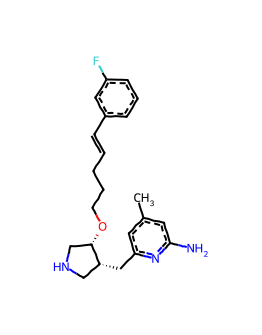 Cc1cc(N)nc(C[C@@H]2CNC[C@@H]2OCCC/C=C/c2cccc(F)c2)c1